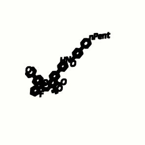 CCCCCC1CCC(c2ccc(C(=O)Nc3ccc(-c4ccc5c6c(c7c(c5c4)C(=O)OC7(C)C)C=CC(c4ccc(C5CCOCC5)cc4)(c4ccccc4F)O6)cc3)cc2)CC1